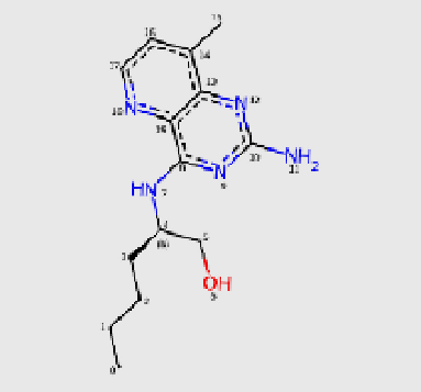 CCCC[C@H](CO)Nc1nc(N)nc2c(C)ccnc12